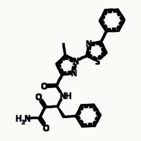 Cc1cc(C(=O)N[C@@H](Cc2ccccc2)C(=O)C(N)=O)nn1-c1nc(-c2ccccc2)cs1